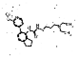 CCN(CC)CCCSNC(=O)Nc1c(-c2ccnc(OC)c2)ccc2c1CCC2